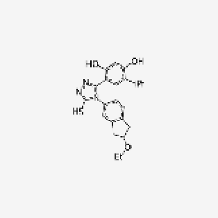 CCOC1Cc2ccc(-n3c(S)nnc3-c3cc(C(C)C)c(O)cc3O)cc2C1